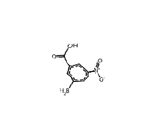 Bc1cc(C(=O)O)cc([N+](=O)[O-])c1